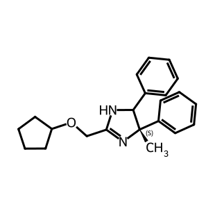 C[C@@]1(c2ccccc2)N=C(COC2CCCC2)NC1c1ccccc1